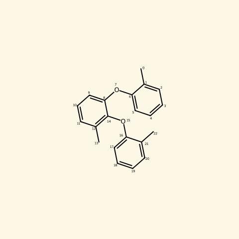 Cc1ccccc1Oc1cccc(C)c1Oc1ccccc1C